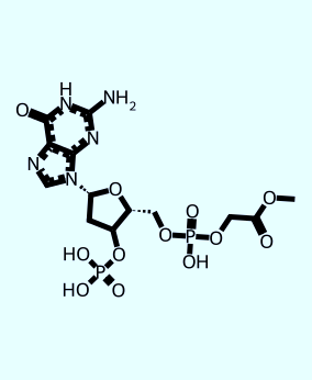 COC(=O)COP(=O)(O)OC[C@H]1O[C@@H](n2cnc3c(=O)[nH]c(N)nc32)CC1OP(=O)(O)O